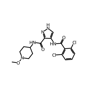 CON1CCC(NC(=O)c2n[nH]cc2NC(=O)c2c(Cl)cccc2Cl)CC1